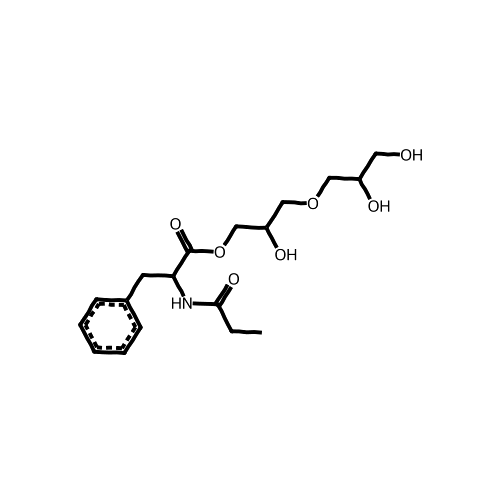 CCC(=O)NC(Cc1ccccc1)C(=O)OCC(O)COCC(O)CO